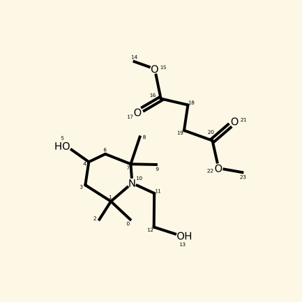 CC1(C)CC(O)CC(C)(C)N1CCO.COC(=O)CCC(=O)OC